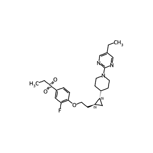 CCc1cnc(N2CCC([C@@H]3C[C@H]3CCOc3ccc(S(=O)(=O)CC)cc3F)CC2)nc1